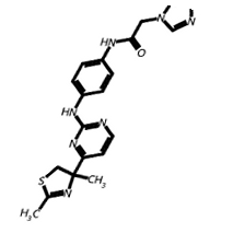 CC1=NC(C)(c2ccnc(Nc3ccc(NC(=O)Cn4ccnc4)cc3)n2)CS1